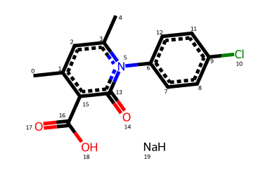 Cc1cc(C)n(-c2ccc(Cl)cc2)c(=O)c1C(=O)O.[NaH]